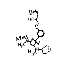 CNCC(O)COc1cccc(-c2nc(N(C)NC)cc(N(C)C3CCOCC3)n2)c1